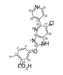 Cc1ccc(Oc2nc3nc(-c4ccncc4)c(Cl)cc3[nH]2)cc1C(=O)O